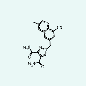 Cc1cnc2c(C#N)cc(Cn3cc(C(N)=O)c(C(N)=O)n3)cc2c1